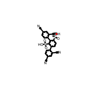 N#Cc1ccc(-c2ccc(S(=O)(=O)O)c(-c3ccc(C#N)cc3C#N)c2S(=O)(=O)O)c(C#N)c1